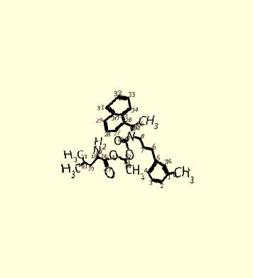 Cc1cccc(CCCN(C(=O)OC(C)OC(=O)C(N)CC(C)C)[C@H](C)c2cccc3ccccc23)c1